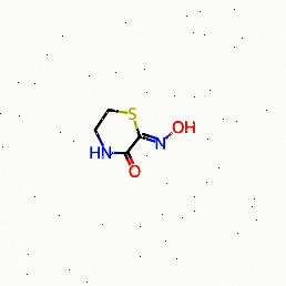 O=C1NCCSC1=NO